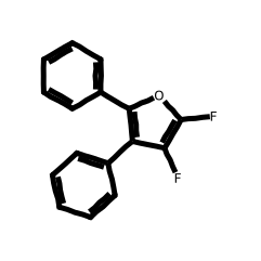 Fc1oc(-c2ccccc2)c(-c2ccccc2)c1F